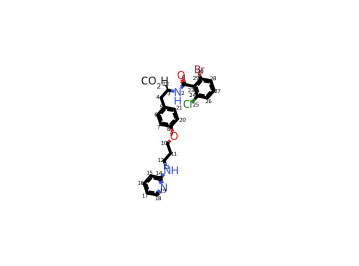 O=C(N[C@@H](Cc1ccc(OCCCNc2ccccn2)cc1)C(=O)O)c1c(Cl)cccc1Br